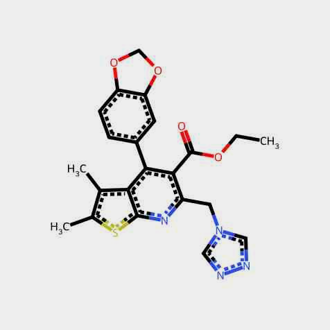 CCOC(=O)c1c(Cn2cnnc2)nc2sc(C)c(C)c2c1-c1ccc2c(c1)OCO2